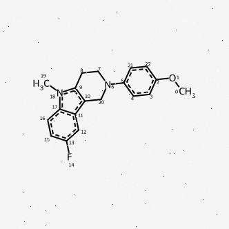 COc1ccc(N2CCc3c(c4cc(F)ccc4n3C)C2)cc1